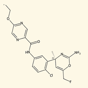 C[C@@]1(c2cc(NC(=O)c3cnc(OCF)cn3)ccc2Cl)C=C(CF)OC(N)=N1